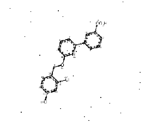 O=C(O)c1cccc(-c2cccc(OCc3ccc(Cl)cc3Cl)n2)c1